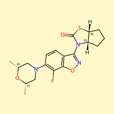 C[C@@H]1CN(c2ccc3c(N4C(=O)S[C@@H]5CCC[C@@H]54)noc3c2F)C[C@H](C)O1